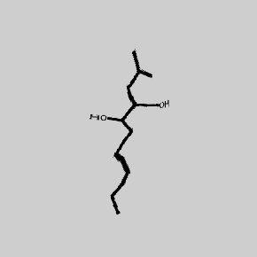 CCCCCC(O)C(O)CC(C)C